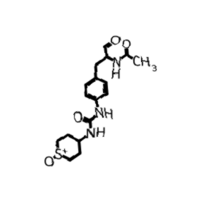 CC(=O)NC(C=O)Cc1ccc(NC(=O)NC2CC[S+]([O-])CC2)cc1